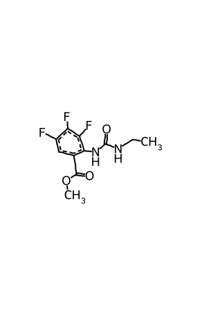 CCNC(=O)Nc1c(C(=O)OC)cc(F)c(F)c1F